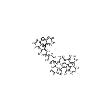 c1ccc(N(c2ccc(-c3ccc4c5cccc6c5n(c4c3)-c3ccccc3O6)cc2)c2ccc3c(c2)C(c2ccccc2)(c2ccccc2)c2ccccc2-3)cc1